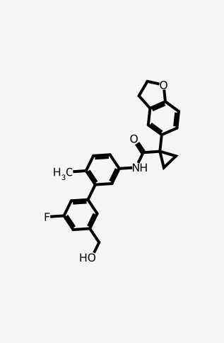 Cc1ccc(NC(=O)C2(c3ccc4c(c3)CCO4)CC2)cc1-c1cc(F)cc(CO)c1